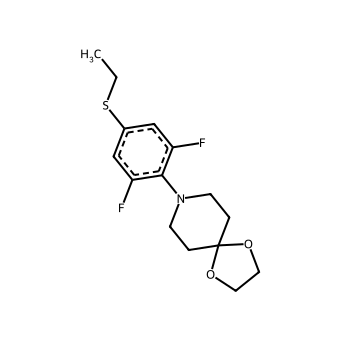 CCSc1cc(F)c(N2CCC3(CC2)OCCO3)c(F)c1